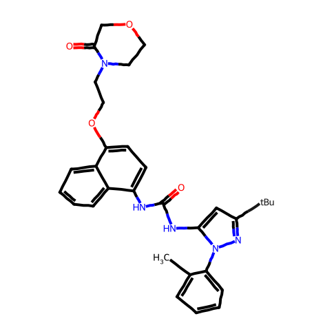 Cc1ccccc1-n1nc(C(C)(C)C)cc1NC(=O)Nc1ccc(OCCN2CCOCC2=O)c2ccccc12